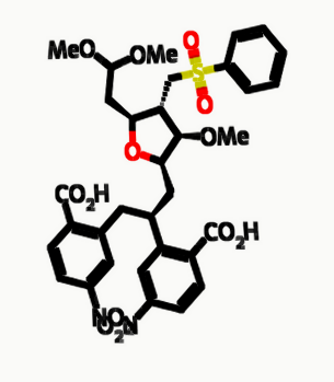 COC(C[C@@H]1O[C@H](C[C@H](Cc2cc([N+](=O)[O-])ccc2C(=O)O)c2cc([N+](=O)[O-])ccc2C(=O)O)[C@H](OC)[C@H]1CS(=O)(=O)c1ccccc1)OC